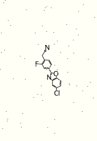 N#CCc1ccc(-c2nc3cc(Cl)ccc3o2)cc1F